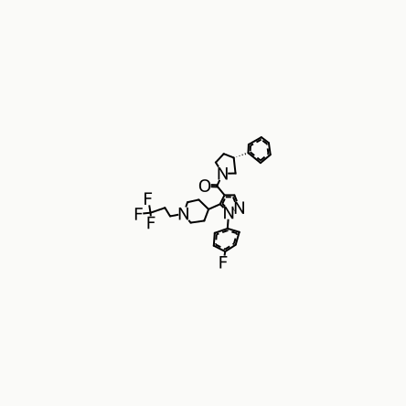 O=C(c1cnn(-c2ccc(F)cc2)c1C1CCN(CCC(F)(F)F)CC1)N1CC[C@H](c2ccccc2)C1